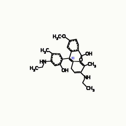 CCNC1=CC/C(=C(\c2cc(C)c(NCC)cc2O)c2cc(OC)ccc2C(=O)O)C=C1C